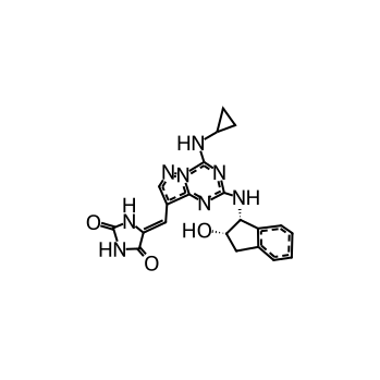 O=C1NC(=O)/C(=C/c2cnn3c(NC4CC4)nc(N[C@@H]4c5ccccc5C[C@@H]4O)nc23)N1